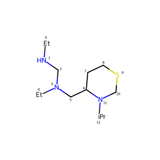 CCNCN(CC)CC1CCSCN1C(C)C